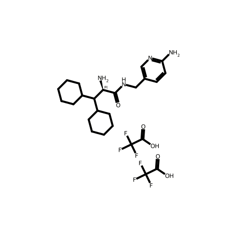 Nc1ccc(CNC(=O)[C@H](N)C(C2CCCCC2)C2CCCCC2)cn1.O=C(O)C(F)(F)F.O=C(O)C(F)(F)F